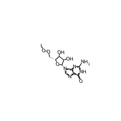 Nc1nc2c(ncn2[C@@H]2O[C@H](COOI)[C@@H](O)[C@H]2O)c(=O)[nH]1